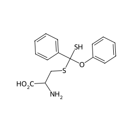 NC(CSC(S)(Oc1ccccc1)c1ccccc1)C(=O)O